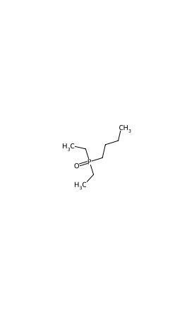 CCCCP(=O)(CC)CC